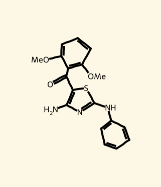 COc1cccc(OC)c1C(=O)c1sc(Nc2ccccc2)nc1N